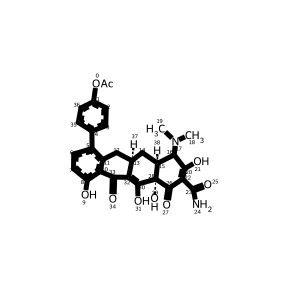 CC(=O)Oc1ccc(-c2ccc(O)c3c2C[C@H]2C[C@H]4C(N(C)C)C(O)=C(C(N)=O)C(=O)[C@@]4(O)C(O)=C2C3=O)cc1